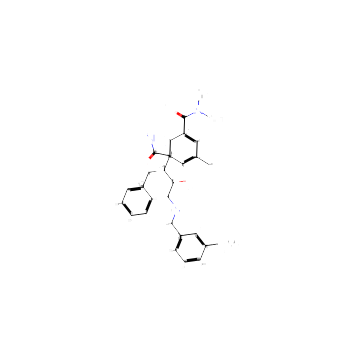 CCCN(CCC)C(=O)C1=CC(C)=CC(C(N)=O)([C@H](Cc2ccccc2)[C@@H](O)CNCc2cccc(OC)c2)C1